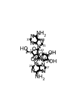 NC(=O)[C@@]1(O)[C@H](O)[C@@H](CO)O[C@@]1(C[C@H]1O[C@@H](n2cnc3c(N)ncnc32)[C@H](O)[C@@H]1O)n1cnc2c(N)ncnc21